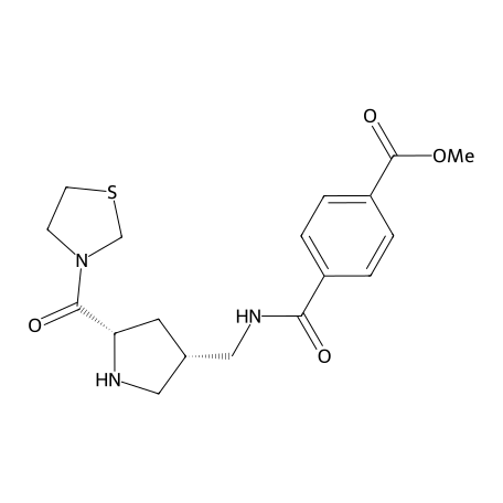 COC(=O)c1ccc(C(=O)NC[C@@H]2CN[C@H](C(=O)N3CCSC3)C2)cc1